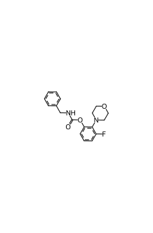 O=C(NCc1ccccc1)Oc1cccc(F)c1N1CCOCC1